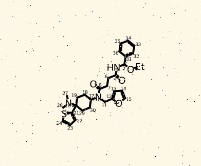 CCOC(NC(=O)CCC(=O)N(Cc1ccco1)C1CCC(c2cccs2)(N(C)C)CC1)c1ccccc1